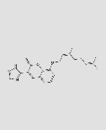 CC(C)=CCCC(C)=CCOc1cccc2cc(-c3nnn[nH]3)c(=O)oc12